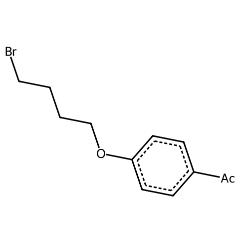 CC(=O)c1ccc(OCCCCBr)cc1